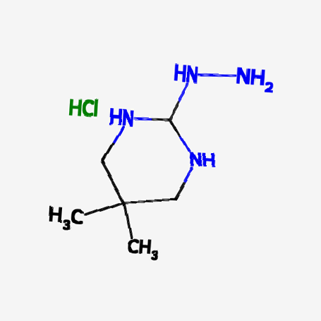 CC1(C)CNC(NN)NC1.Cl